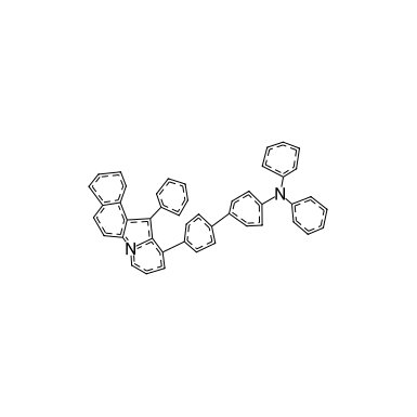 c1ccc(-c2c3c4ccccc4ccc3n3cccc(-c4ccc(-c5ccc(N(c6ccccc6)c6ccccc6)cc5)cc4)c23)cc1